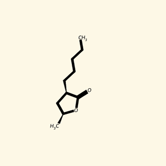 CCCCC[C@@H]1C[C@H](C)OC1=O